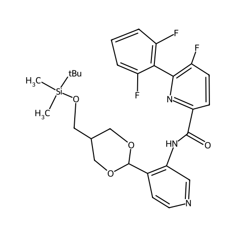 CC(C)(C)[Si](C)(C)OCC1COC(c2ccncc2NC(=O)c2ccc(F)c(-c3c(F)cccc3F)n2)OC1